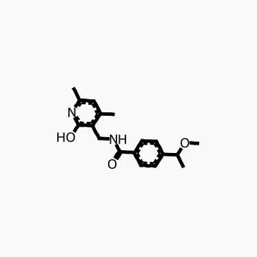 COC(C)c1ccc(C(=O)NCc2c(C)cc(C)nc2O)cc1